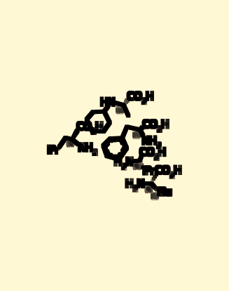 CC(C)C[C@H](N)C(=O)O.CC(C)[C@H](N)C(=O)O.CC[C@H](C)[C@H](N)C(=O)O.C[C@H](NC1CCCCC1)C(=O)O.N[C@@H](Cc1ccccc1)C(=O)O